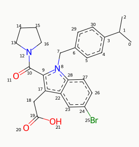 CC(C)c1ccc(Cn2c(C(=O)N3CCCC3)c(CC(=O)O)c3cc(Br)ccc32)cc1